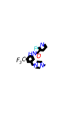 CN1CCN(Cc2cc(NC(=O)c3cccnc3F)cc(C(F)(F)F)c2)CC1